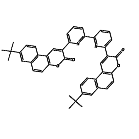 CC(C)(C)c1ccc2c(ccc3oc(=O)c(-c4cccc(-c5cccc(-c6cc7c(ccc8cc(C(C)(C)C)ccc87)oc6=O)n5)n4)cc32)c1